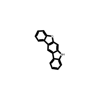 c1ccc2c(c1)[nH]c1cc3oc4ccccc4c3cc12